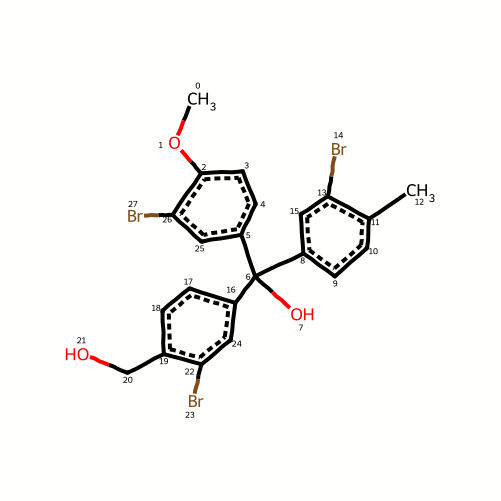 COc1ccc(C(O)(c2ccc(C)c(Br)c2)c2ccc(CO)c(Br)c2)cc1Br